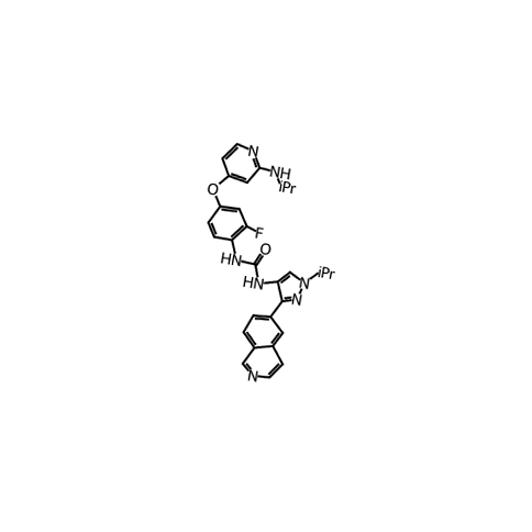 CC(C)Nc1cc(Oc2ccc(NC(=O)Nc3cn(C(C)C)nc3-c3ccc4cnccc4c3)c(F)c2)ccn1